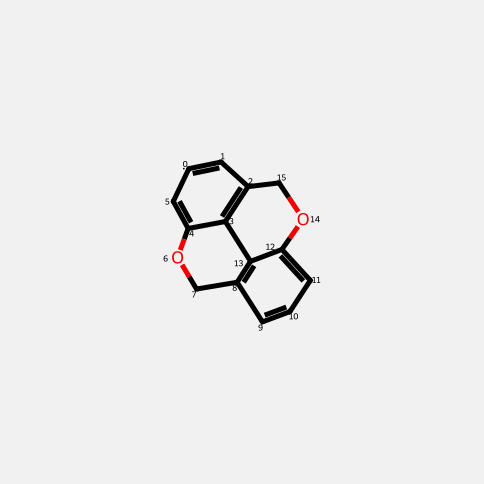 [c]1cc2c3c(c1)OCc1cccc(c1-3)OC2